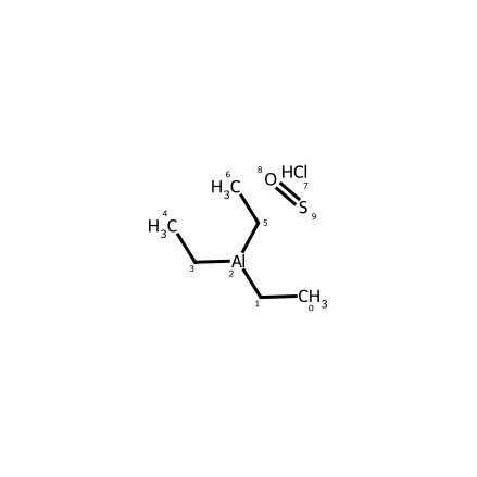 C[CH2][Al]([CH2]C)[CH2]C.Cl.O=S